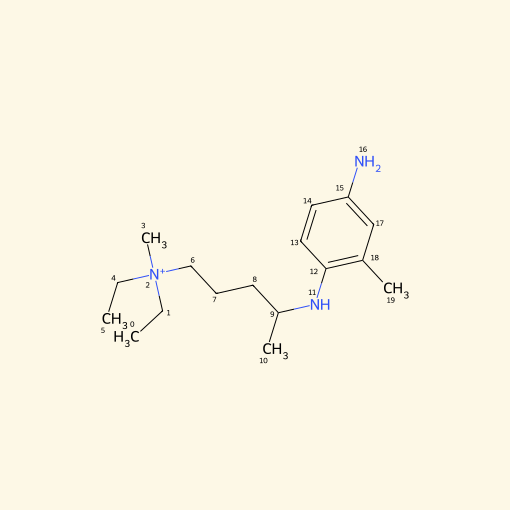 CC[N+](C)(CC)CCCC(C)Nc1ccc(N)cc1C